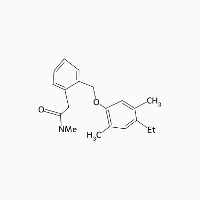 CCc1cc(C)c(OCc2ccccc2CC(=O)NC)cc1C